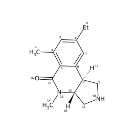 CCc1cc(C)c2c(c1)[C@H]1CNC[C@@H]1N(C)C2=O